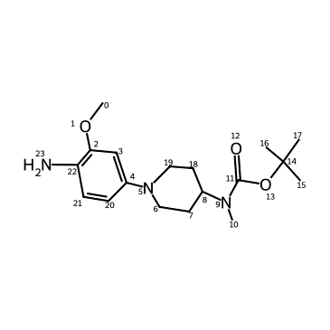 COc1cc(N2CCC(N(C)C(=O)OC(C)(C)C)CC2)ccc1N